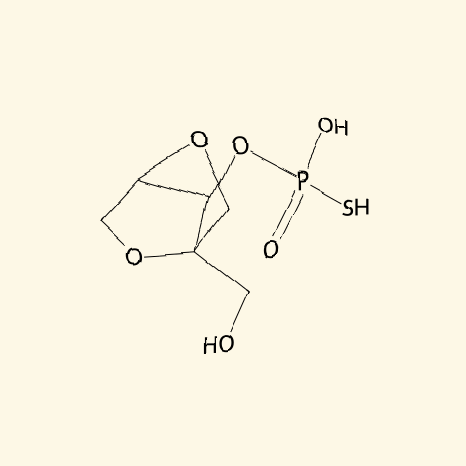 O=P(O)(S)OC1C2COC1(CO)CO2